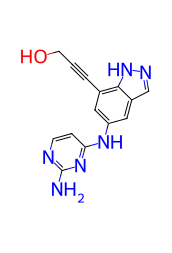 Nc1nccc(Nc2cc(C#CCO)c3[nH]ncc3c2)n1